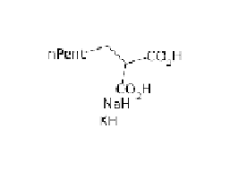 CCCCCCC(C(=O)O)C(=O)O.[KH].[NaH]